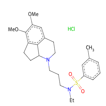 CCN(CCCN1CCc2cc(OC)c(OC)c3c2C1CC3)S(=O)(=O)c1cccc(C)c1.Cl